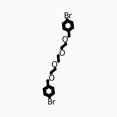 Brc1ccc(COCCOCCOCCOCc2ccc(Br)cc2)cc1